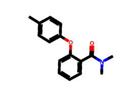 Cc1ccc(Oc2ccccc2C(=O)N(C)C)cc1